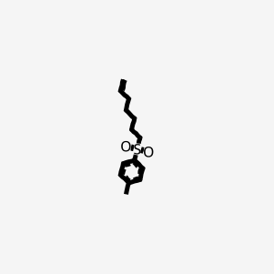 C=CCCCCCS(=O)(=O)c1ccc(C)cc1